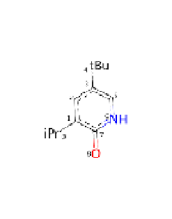 CC(C)c1cc(C(C)(C)C)c[nH]c1=O